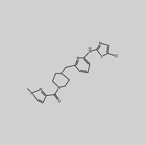 Cn1ccc(C(=O)N2CCN(Cc3cccc(Nc4ncc(Cl)s4)n3)CC2)n1